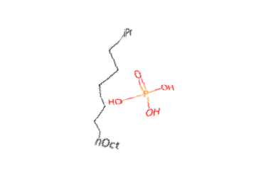 CCCCCCCCCCCCCC(C)C.O=P(O)(O)O